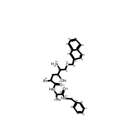 CCC(C)C(NC(=O)C(CC(O)C(N)COCc1ccc2ccccc2c1)C(C)C)C(=O)NCc1ccccc1